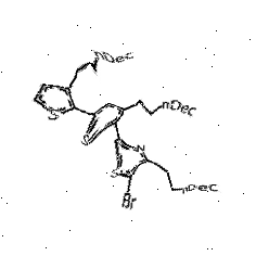 CCCCCCCCCCCCc1ccsc1-c1cc(CCCCCCCCCCCC)c(-c2nc(CCCCCCCCCCCC)c(Br)s2)s1